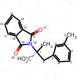 Cc1cccc(C[C@@](C)(C(=O)O)N2C(=O)c3ccccc3C2=O)c1